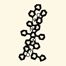 c1ccc(-c2cccc(N(c3cccc4c3oc3ccccc34)c3cccc4c3c3cccc5c6c(-c7ccccc7)c7c(c(-c8ccccc8)c6n4c35)c3cccc4c5c(N(c6cccc(-c8ccccc8)c6)c6cccc8c6oc6ccccc68)cccc5n7c43)c2)cc1